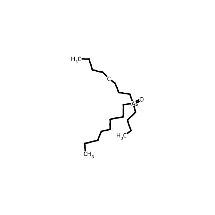 CCCCCCCC[As](=O)(CCCC)CCCCCCCC